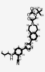 CCCNc1ccc(-c2nc(-c3ccc4c(c3)CCN(C(=O)CN(C(=O)O)C(C)(C)C)CC4)no2)cc1C#N